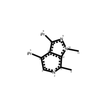 Cc1ncc(C(C)C)c2c(C(C)C)nn(C)c12